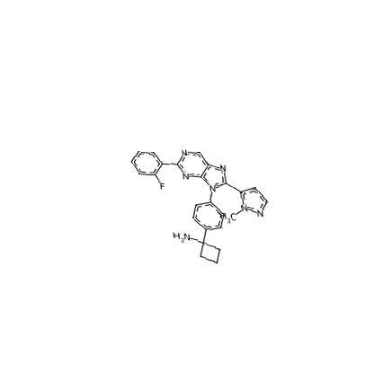 Cn1nccc1-c1nc2cnc(-c3ccccc3F)nc2n1-c1ccc(C2(N)CCC2)cc1